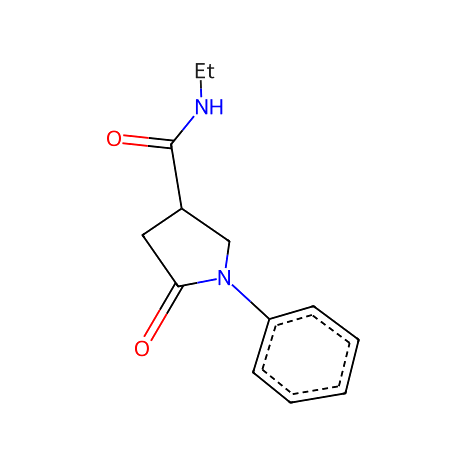 CCNC(=O)C1CC(=O)N(c2ccccc2)C1